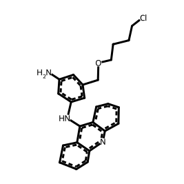 Nc1cc(COCCCCCl)cc(Nc2c3ccccc3nc3ccccc23)c1